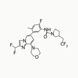 Cc1cc(F)c(NC(=O)N2CCC(CC(F)(F)F)C2)cc1-c1cc(N2CCOCC2)c2nc(C(F)F)cn2c1